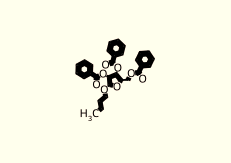 CCCCO[C@H]1O[C@H](COC(=O)c2ccccc2)[C@@H](OC(=O)c2ccccc2)[C@@H]1OC(=O)c1ccccc1